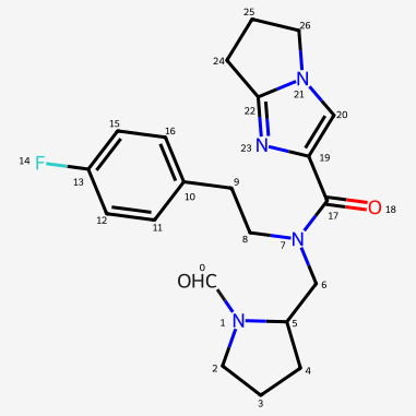 O=CN1CCCC1CN(CCc1ccc(F)cc1)C(=O)c1cn2c(n1)CCC2